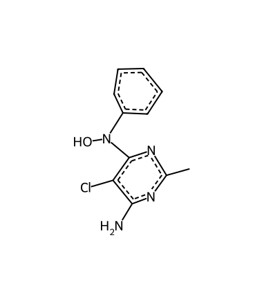 Cc1nc(N)c(Cl)c(N(O)c2ccccc2)n1